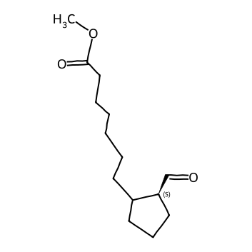 COC(=O)CCCCCCC1CCC[C@@H]1C=O